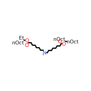 CCCCCCCCC(CCCCCCCC)OC(=O)CCCCCCCN(C)CCCCCCCC(=O)O[C@@H](CC)CCCCCCCC